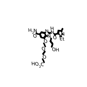 CCn1nc(C)cc1C(=O)Nc1nc2cc(C(N)=O)cc(OCCOCCOCCC(=O)O)c2n1CC=CCO